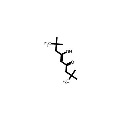 CC(C)(CC(=O)/C=C(\O)CC(C)(C)C(F)(F)F)C(F)(F)F